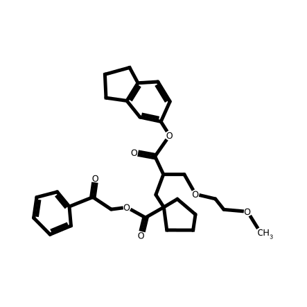 COCCOCC(CC1(C(=O)OCC(=O)c2ccccc2)CCCC1)C(=O)Oc1ccc2c(c1)CCC2